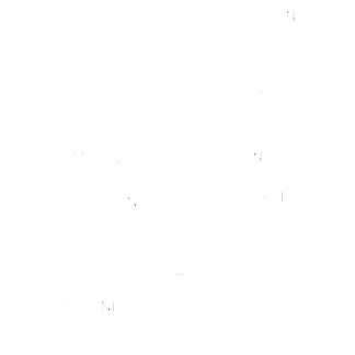 CN1CC2(CCNCC2)c2ccc3c(c21)CN([C@H]1CCC(=O)NC1O)C3=O